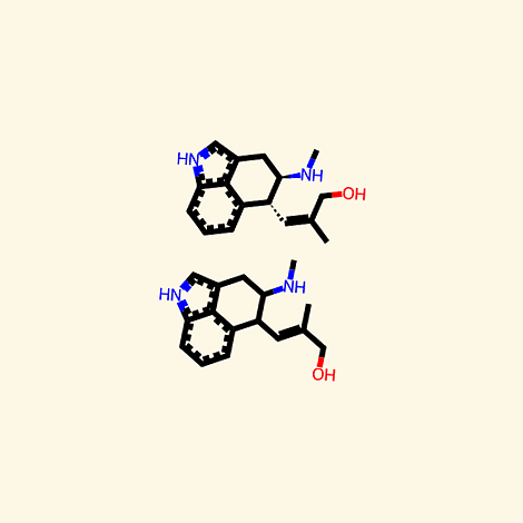 CNC1Cc2c[nH]c3cccc(c23)C1/C=C(\C)CO.CN[C@@H]1Cc2c[nH]c3cccc(c23)[C@H]1/C=C(/C)CO